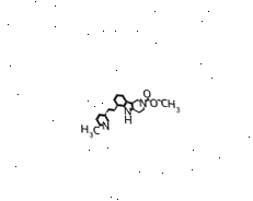 CCOC(=O)N1CCc2[nH]c3c(C=Cc4ccc(C)nc4)cccc3c2C1